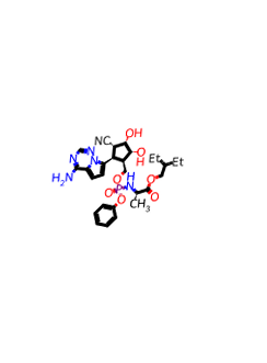 CCC(CC)COC(=O)[C@H](C)NP(=O)(OC[C@@H]1[C@@H](O)[C@@H](O)[C@@H](C#N)[C@@H]1c1ccc2c(N)ncnn12)Oc1ccccc1